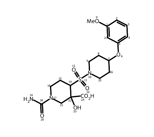 COc1cccc(OC2CCN(S(=O)(=O)C3CCN(C(N)=O)CC3(O)C(=O)O)CC2)c1